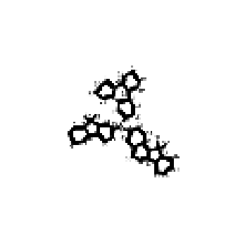 CC1(C)c2ccccc2-c2ccc(N(c3ccc(-c4ccccc4-c4ccccc4)cc3)c3ccc4c5c(ccc4c3)-c3ccccc3C5(C)C)cc21